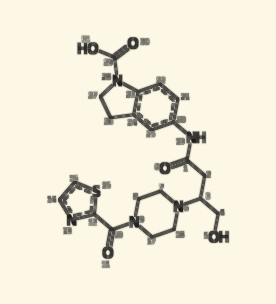 O=C(CC(CO)N1CCN(C(=O)c2nccs2)CC1)Nc1ccc2c(c1)CCN2C(=O)O